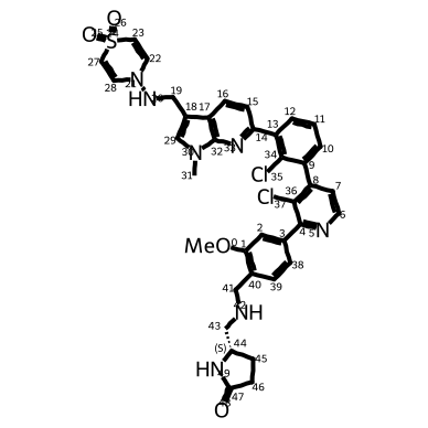 COc1cc(-c2nccc(-c3cccc(-c4ccc5c(CNN6C=CS(=O)(=O)C=C6)cn(C)c5n4)c3Cl)c2Cl)ccc1CNC[C@@H]1CCC(=O)N1